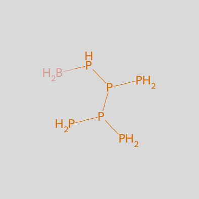 BPP(P)P(P)P